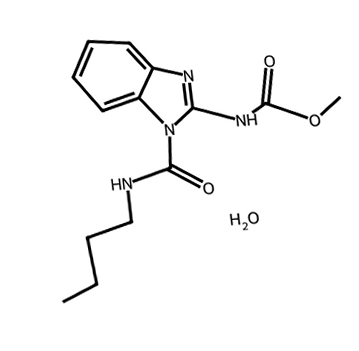 CCCCNC(=O)n1c(NC(=O)OC)nc2ccccc21.O